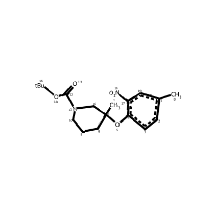 Cc1ccc(OC2(C)CCCN(C(=O)OC(C)(C)C)C2)c([N+](=O)[O-])c1